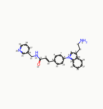 NCCc1cn(-c2ccc(/C=C/C(=O)NCc3cccnc3)cc2)c2ccccc12